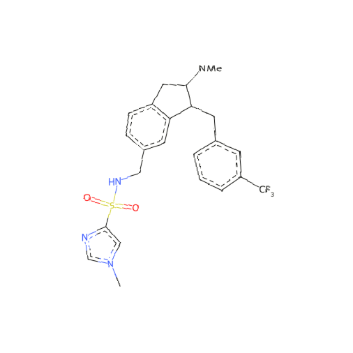 CNC1Cc2ccc(CNS(=O)(=O)c3cn(C)cn3)cc2C1Cc1cccc(C(F)(F)F)c1